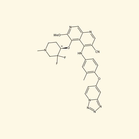 COc1ncc2ncc(C#N)c(Nc3ccc(Oc4ccn5nnnc5c4)c(C)c3)c2c1O[C@@H]1CCN(C)CC1(F)F